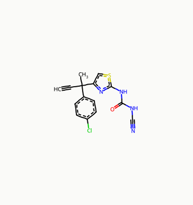 C#CC(C)(c1ccc(Cl)cc1)c1csc(NC(=O)NC#N)n1